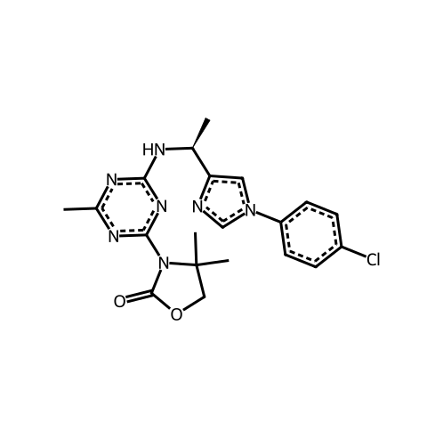 Cc1nc(N[C@@H](C)c2cn(-c3ccc(Cl)cc3)cn2)nc(N2C(=O)OCC2(C)C)n1